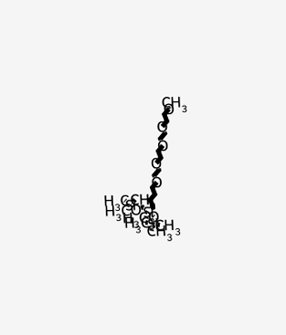 COCCOCCOCCOCCOCCCC[Si](C)(CO[Si](C)(C)C)O[Si](C)(C)C